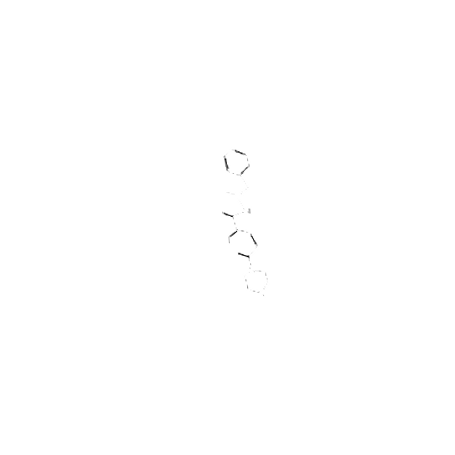 C=C(/C=C\C(=C/C)C(=O)N[S+]([O-])Cc1ccccc1)N1CCNCC1